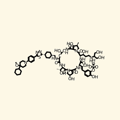 COC1(C2CCCCC2)CCN(c2ccc(-c3nnc([C@H]4CC[C@H](CN[C@H]5C[C@@H](O)CNC(=O)[C@@H]6[C@@H](O)[C@@H](C)CN6C(=O)[C@H]([C@H](O)CCNC(CO)CO)NC(=O)[C@H]([C@H](O)Cc6ccc(O)c(OS(=O)(=O)O)c6)NC(=O)[C@@H]6C[C@@H](O)CN6C(=O)[C@H]([C@@H](C)O)NC5=O)CC4)s3)cc2)CC1